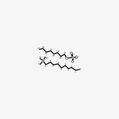 CCCCCCCCCC[N+](C)(C)C.CCCCCCCCOS(=O)(=O)[O-]